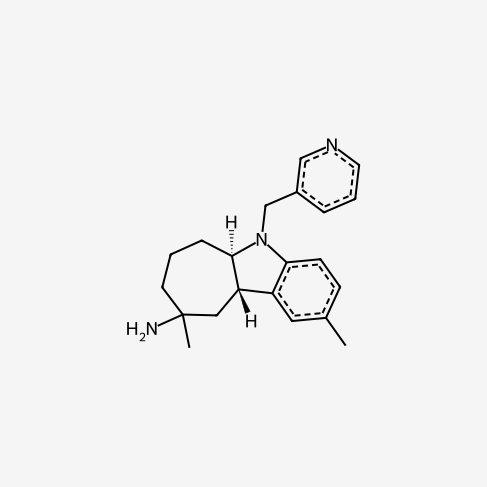 Cc1ccc2c(c1)[C@@H]1CC(C)(N)CCC[C@H]1N2Cc1cccnc1